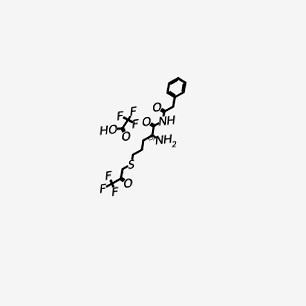 N[C@@H](CCCSCC(=O)C(F)(F)F)C(=O)NC(=O)Cc1ccccc1.O=C(O)C(F)(F)F